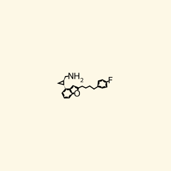 NC[C@@H]1C[C@H]1c1cccc2oc(CCCCc3ccc(F)cc3)cc12